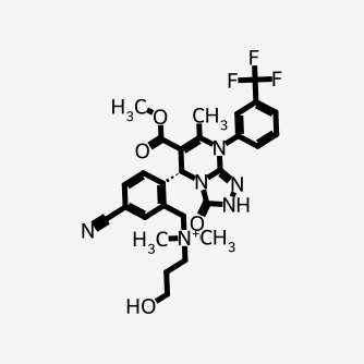 COC(=O)C1=C(C)N(c2cccc(C(F)(F)F)c2)c2n[nH]c(=O)n2[C@@H]1c1ccc(C#N)cc1C[N+](C)(C)CCCO